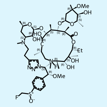 CC[C@H]1OC(=O)[C@H](C)[C@@H](O[C@H]2C[C@@](C)(OC)[C@@H](O)[C@H](C)O2)[C@H](C)[C@@H](O[C@@H]2O[C@H](C)C[C@H](N(C)CCc3cn([C@H](CF)[C@H](OC)c4ccc([S+]([O-])CF)cc4)nn3)[C@H]2O)[C@](C)(O)C[C@@H](C)CN(C)[C@H](C)[C@@H](O)[C@]1(C)O